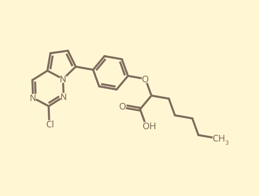 CCCCCC(Oc1ccc(-c2ccc3cnc(Cl)nn23)cc1)C(=O)O